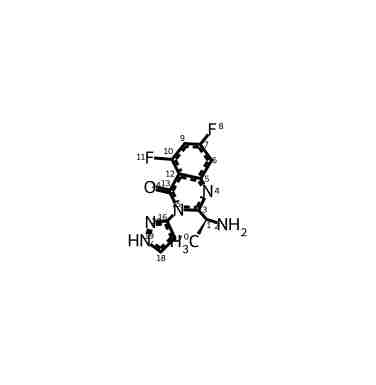 C[C@H](N)c1nc2cc(F)cc(F)c2c(=O)n1-c1cc[nH]n1